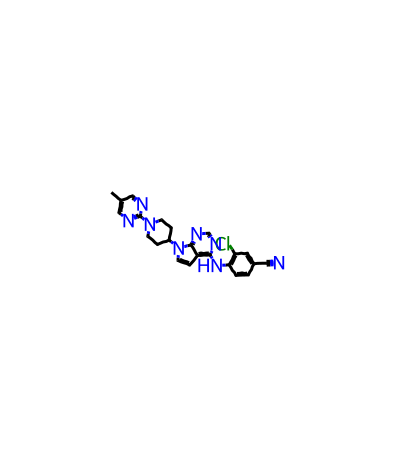 Cc1cnc(N2CCC(n3ccc4c(Nc5ccc(C#N)cc5Cl)ncnc43)CC2)nc1